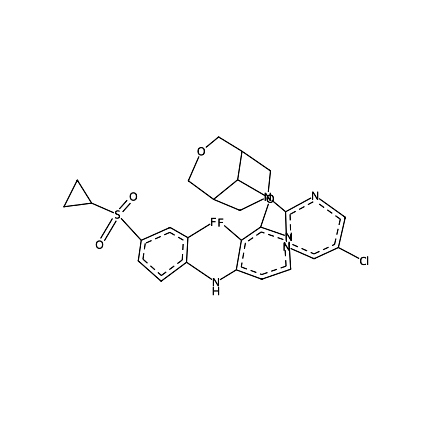 O=S(=O)(c1ccc(Nc2ccnc(OC3C4COCC3CN(c3ncc(Cl)cn3)C4)c2F)c(F)c1)C1CC1